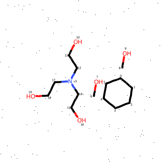 C1CCCCC1.CO.CO.OCCN(CCO)CCO